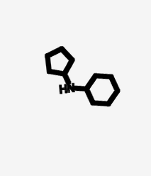 C1CCC(NC2CCCC2)CC1